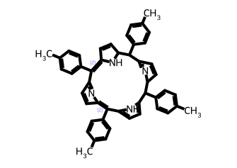 Cc1ccc(/C2=C3\C=CC(N3)C(c3ccc(C)cc3)C3=NC(C=C3)C(c3ccc(C)cc3)c3ccc([nH]3)/C(c3ccc(C)cc3)=C3/C=CC2=N3)cc1